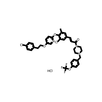 Cc1cc(C=CC(=O)N2CCN(Cc3ccc(OC(F)(F)F)cc3)CC2)cc(Cl)c1Oc1ccc(OCCc2ccc(Cl)cc2)cn1.Cl